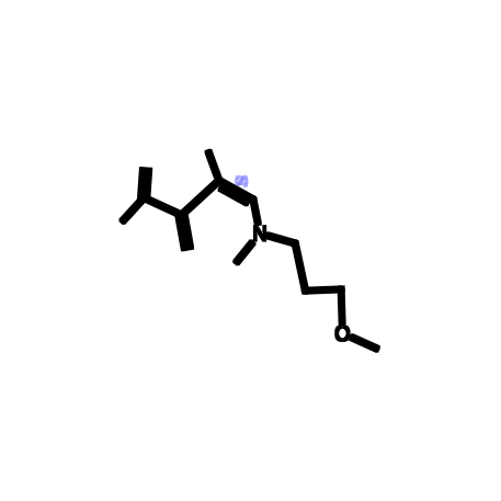 C=C(C)C(=C)/C(C)=C\N(C)CCCOC